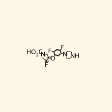 O=C(O)N1C[C@H](Oc2cc(N3CCNCC3)c(F)cc2F)[C@@H](F)C1